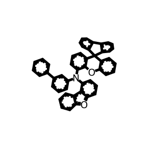 c1ccc(-c2cccc(N(c3cccc4c3Oc3ccccc3C43c4ccccc4-c4ccccc43)c3cccc4oc5ccccc5c34)c2)cc1